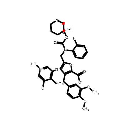 COc1ccc([C@H](Cc2c(Cl)c[n+](O)cc2Cl)c2cc(CN(C(=O)O[C@@H]3CN4CCC3CC4)c3ccccc3F)sc2C(=O)[O-])cc1OC